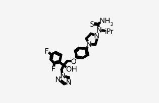 CC(C)N(C(N)=S)N1CCN(c2ccc(OCC(O)(Cn3cncn3)c3ccc(F)cc3F)cc2)CC1